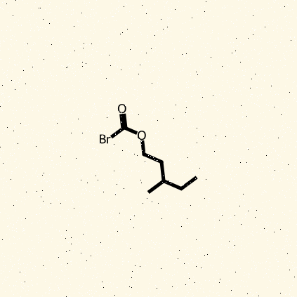 CCC(C)CCOC(=O)Br